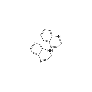 C1=Nc2ccccc2NC1.c1ccc2nccnc2c1